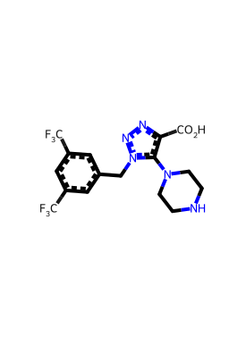 O=C(O)c1nnn(Cc2cc(C(F)(F)F)cc(C(F)(F)F)c2)c1N1CCNCC1